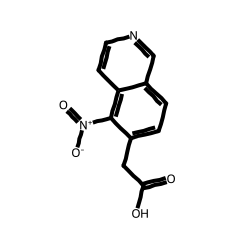 O=C(O)Cc1ccc2cnccc2c1[N+](=O)[O-]